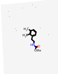 Bc1c(C)cccc1CCNC(=O)OC